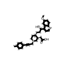 COc1ccc2nccc(C(O)CC[C@@H]3CCN(CC#Cc4ccc(C)cc4)C[C@@H]3CC(=O)O)c2c1